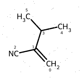 C=C(C#N)C(C)C